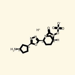 N[C@@H]1CC[C@H](c2nnc([C@@H]3CC[C@@H]4CN3C(=O)N4OS(=O)(=O)[O-])o2)C1.[H+]